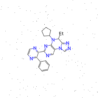 CCC1c2nncn2-c2cnc(-c3nccnc3-c3ccccc3)nc2N1C1CCCC1